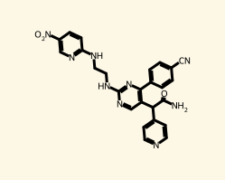 N#Cc1ccc(-c2nc(NCCNc3ccc([N+](=O)[O-])cn3)ncc2C(C(N)=O)c2ccncc2)cc1